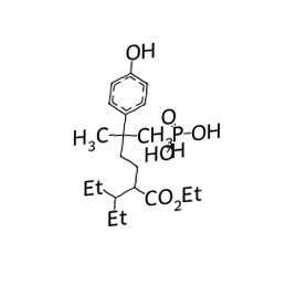 CCOC(=O)C(CCC(C)(C)c1ccc(O)cc1)C(CC)CC.O=[PH](O)O